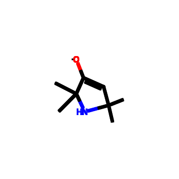 CC1(C)C=C([O])C(C)(C)N1